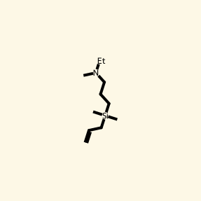 C=CC[Si](C)(C)CCCN(C)CC